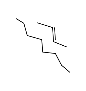 CC=CC.CCCCCCCC